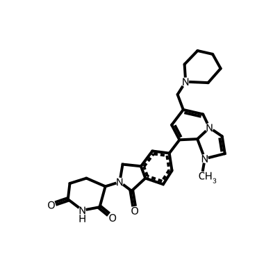 CN1C=CN2C=C(CN3CCCCC3)C=C(c3ccc4c(c3)CN(C3CCC(=O)NC3=O)C4=O)C12